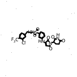 O=C1CCC(N2C(=O)C=C(Nc3cccc(S(=O)(=O)NCCc4ccc(C(F)(F)F)c(Cl)c4)c3)C2=O)C(=O)N1